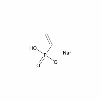 C=CP(=O)([O-])O.[Na+]